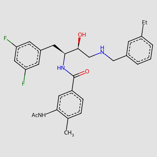 CCc1cccc(CNC[C@H](O)[C@H](Cc2cc(F)cc(F)c2)NC(=O)c2ccc(C)c(NC(C)=O)c2)c1